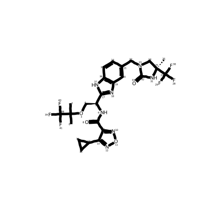 CC(C)(OC[C@H](NC(=O)c1nonc1C1CC1)c1nc2cc(CN3C[C@@](C)(C(F)(F)F)NC3=O)ccc2[nH]1)C(F)(F)F